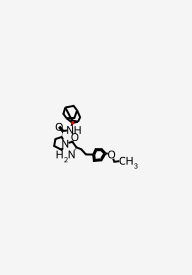 CCOc1ccc(CC[C@H](N)C(=O)N2CCC[C@@H]2C(=O)NC2C3CC4CC(C3)CC2C4)cc1